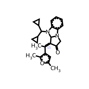 C/C(=C1/C(=O)CN2c3ccccc3N([C](C3CC3)C3CC3)C12)c1cc(C)oc1C